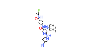 CC(C)Nc1cc(Nc2ccc(C#N)cn2)ncc1C(=O)N[C@H]1CC[C@H](C(=O)N[C@H]2CC2F)CC1